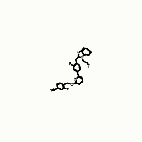 N#Cc1ccc(COc2cccc(-c3ccc(Cc4nc5ccccc5n4CCF)c(F)c3)n2)c(F)c1